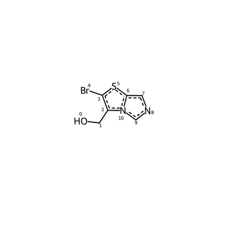 OCc1c(Br)sc2cncn12